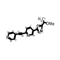 COC(C)c1nc(-c2ccc(C#Cc3ccncc3)nc2)no1